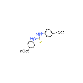 CCCCCCCCc1ccc(NC(=S)Nc2ccc(CCCCCCCC)cc2)cc1